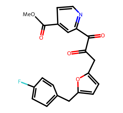 COC(=O)c1ccnc(C(=O)C(=O)Cc2ccc(Cc3ccc(F)cc3)o2)c1